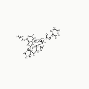 COc1ccc2c3c1O[C@@H]1C4(CC[C@@H]5C(C2)N(C(=O)Oc2ccccc2)CC[C@]351)OCCO4